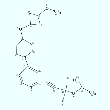 COC1CC(OC2CCN(c3ccnc(C#CC(F)(F)OC(C)C)c3)CC2)C1